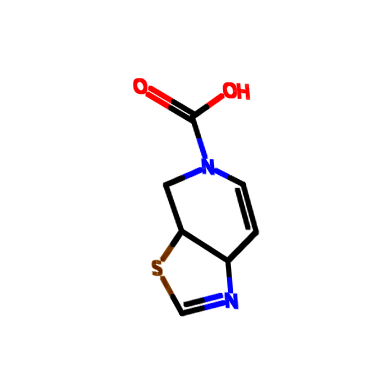 O=C(O)N1C=CC2N=CSC2C1